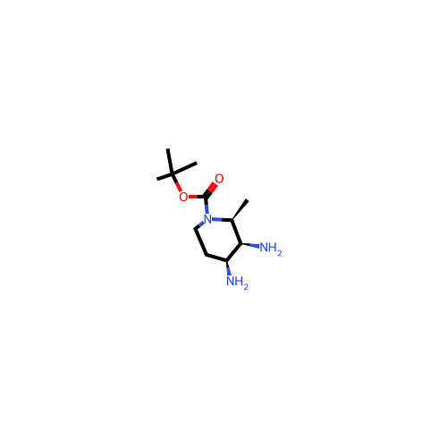 C[C@H]1[C@@H](N)[C@@H](N)CCN1C(=O)OC(C)(C)C